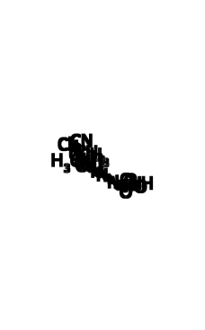 CC1(C)C(NC(=O)c2ccc(N3CCN(C4CC5(C4)CN(c4ccc6c(c4)C(=O)N(C4CCC(=O)NC4=O)C6=O)C5)CC3)cc2)C(C)(C)C1Oc1ccc(C#N)c(Cl)c1